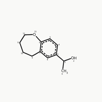 CC(O)c1ccc2c(c1)CCCCO2